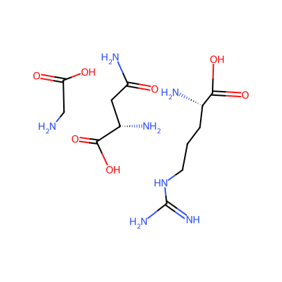 N=C(N)NCCC[C@H](N)C(=O)O.NC(=O)C[C@H](N)C(=O)O.NCC(=O)O